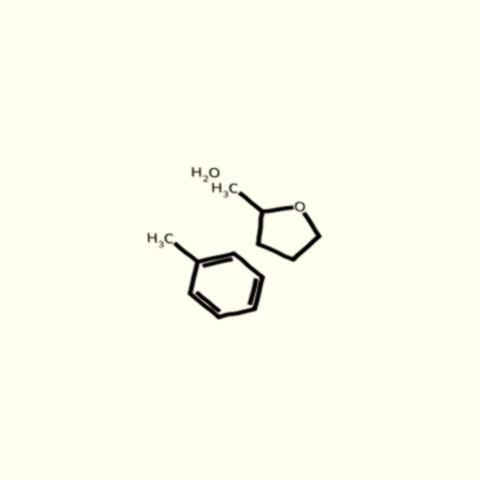 CC1CCCO1.Cc1ccccc1.O